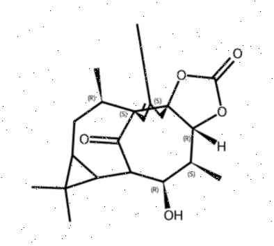 CC1=C[C@@]23C(=O)C(C4C(C[C@H]2C)C4(C)C)[C@H](O)[C@H](C)[C@H]2OC(=O)O[C@]23C1